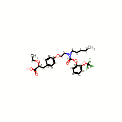 CCCCCN(CCOc1ccc(CC(OCC)C(=O)O)cc1)C(=O)Oc1ccccc1OC(F)(F)F